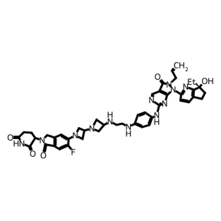 C=CCn1c(=O)c2cnc(Nc3ccc(NCCNC4CN(C5CN(c6cc7c(cc6F)C(=O)N(C6CCC(=O)NC6=O)C7)C5)C4)cc3)nc2n1-c1ccc2c(n1)[C@@](O)(CC)CC2